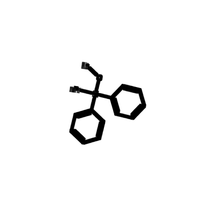 CCC[Si](OCC)(c1ccccc1)c1ccccc1